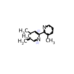 C=C/C=N\C(=C/C(=C)C)c1ncccc1C